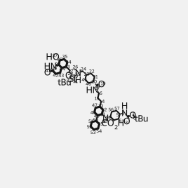 CC(C)(C)OC(=O)N[C@H]1CC[C@H](N(C(=O)O)c2cc(CCCNC(=O)[C@H]3CC[C@H](CNC[C@H](O[Si](C)(C)C(C)(C)C)c4ccc(O)c5[nH]c(=O)ccc45)CC3)ccc2-c2ccccc2)CC1